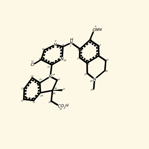 COc1cc2c(cc1Nc1ncc(Cl)c(N3C[C@](C)(CC(=O)O)c4ccccc43)n1)CN(C)CC2